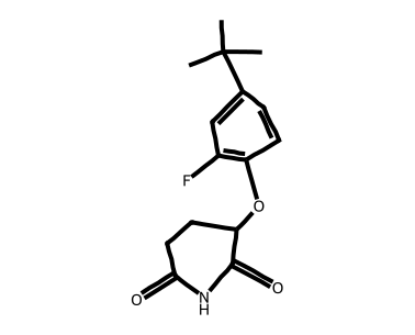 CC(C)(C)c1ccc(OC2CCC(=O)NC2=O)c(F)c1